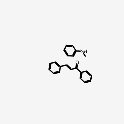 CNc1ccccc1.O=C(C=Cc1ccccc1)c1ccccc1